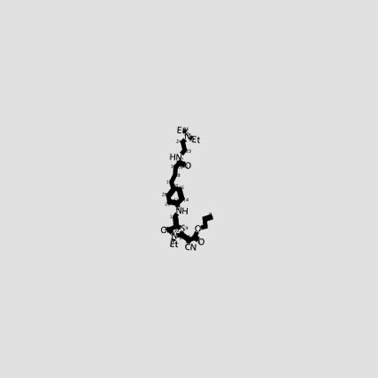 C=CCOC(=O)C(C#N)=c1sc(=CNc2ccc(CCCC(=O)NCCN(CC)CC)cc2)c(=O)n1CC